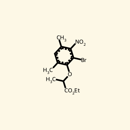 CCOC(=O)C(C)Oc1c(C)cc(C)c([N+](=O)[O-])c1Br